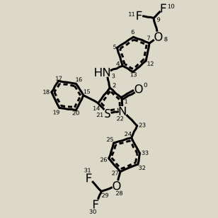 O=c1c(Nc2ccc(OC(F)F)cc2)c(-c2ccccc2)sn1Cc1ccc(OC(F)F)cc1